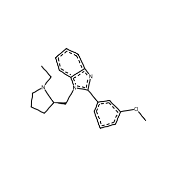 CCN1CCC[C@@H]1Cn1c(-c2cccc(OC)c2)nc2ccccc21